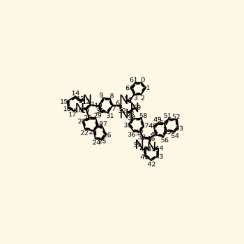 c1ccc(-c2nc(-c3ccc(-c4nc5ccccn5c4-c4ccc5ccccc5c4)cc3)nc(-c3ccc(-c4nc5ccccn5c4-c4ccc5ccccc5c4)cc3)n2)cc1